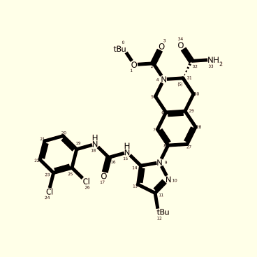 CC(C)(C)OC(=O)N1Cc2cc(-n3nc(C(C)(C)C)cc3NC(=O)Nc3cccc(Cl)c3Cl)ccc2C[C@H]1C(N)=O